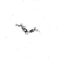 CC(C)(C)OC(=O)NCc1ccc(OC2CC3(C2)CN(C(=O)C(F)(F)F)C3)c(Cl)n1